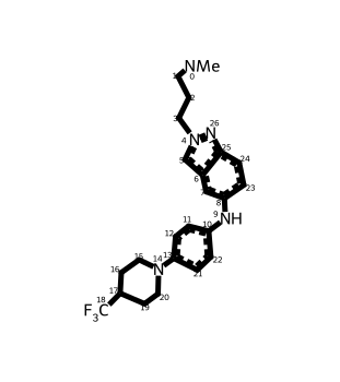 CNCCCn1cc2cc(Nc3ccc(N4CCC(C(F)(F)F)CC4)cc3)ccc2n1